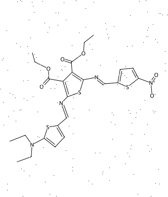 CCOC(=O)c1c(N=Cc2ccc(N(CC)CC)s2)sc(N=Cc2ccc([N+](=O)[O-])s2)c1C(=O)OCC